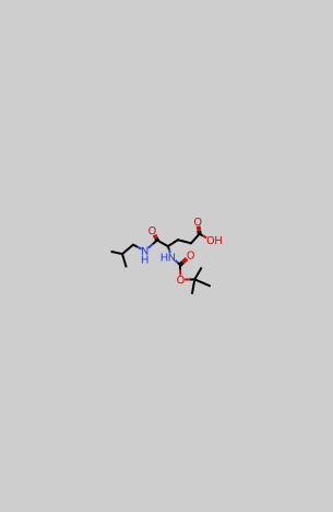 CC(C)CNC(=O)C(CCC(=O)O)NC(=O)OC(C)(C)C